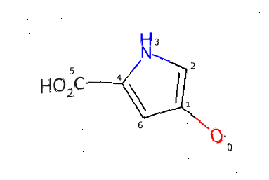 [O]c1c[nH]c(C(=O)O)c1